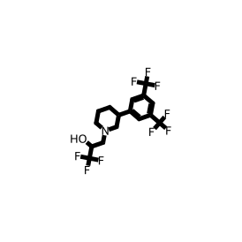 OC(CN1CCCC(c2cc(C(F)(F)F)cc(C(F)(F)F)c2)C1)C(F)(F)F